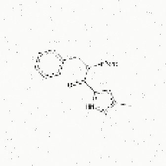 CCCCCN(Cc1ccccc1)C(=O)c1cc(C)n[nH]1